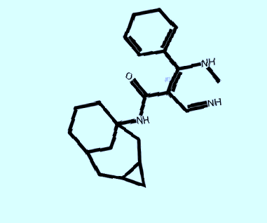 CN/C(C1=CCCC=C1)=C(\C=N)C(=O)NC12CCCC(CC3CC3C1)C2